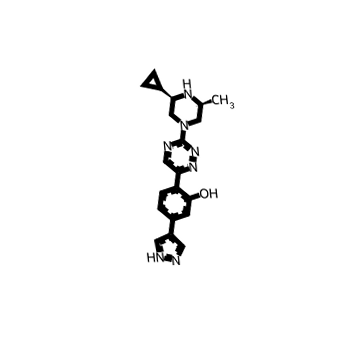 C[C@H]1CN(c2ncc(-c3ccc(-c4cn[nH]c4)cc3O)nn2)C[C@@H](C2CC2)N1